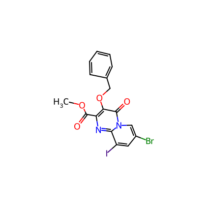 COC(=O)c1nc2c(I)cc(Br)cn2c(=O)c1OCc1ccccc1